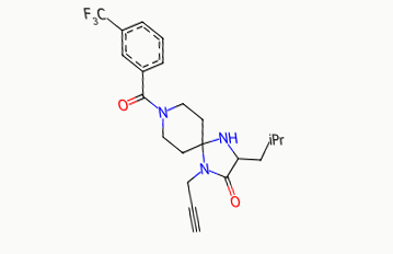 C#CCN1C(=O)C(CC(C)C)NC12CCN(C(=O)c1cccc(C(F)(F)F)c1)CC2